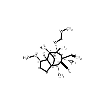 C=C[C@]1(C)C[C@@H](OCOC)[C@]2(C)[C@H](C)CC[C@]3(CC[C@@H](OC)[C@@H]32)[C@@H](C)C1=O